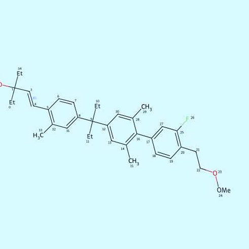 CCC(O)(/C=C/c1ccc(C(CC)(CC)c2cc(C)c(-c3ccc(CCOOC)c(F)c3)c(C)c2)cc1C)CC